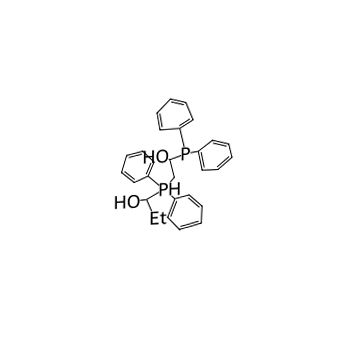 CCC(O)[PH](CC(O)P(c1ccccc1)c1ccccc1)(c1ccccc1)c1ccccc1